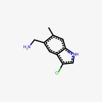 Cc1cc2[nH]cc(Cl)c2cc1CN